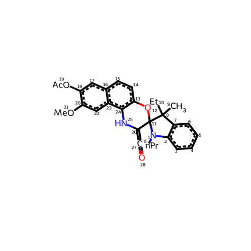 CCCN1c2ccccc2C(C)(CC)C12Oc1ccc3cc(OC(C)=O)c(OC)cc3c1NC2=C=O